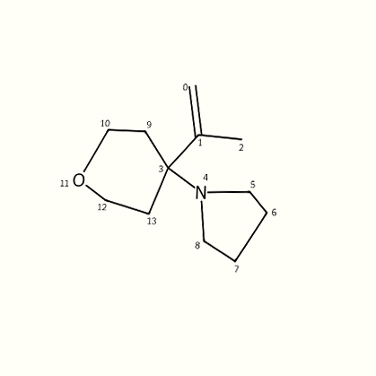 C=C(C)C1(N2CCCC2)CCOCC1